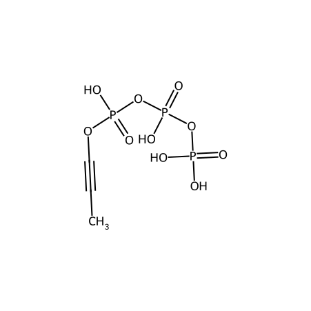 CC#COP(=O)(O)OP(=O)(O)OP(=O)(O)O